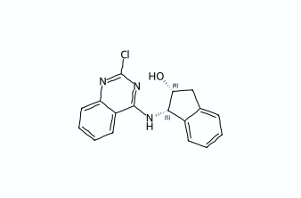 O[C@@H]1Cc2ccccc2[C@@H]1Nc1nc(Cl)nc2ccccc12